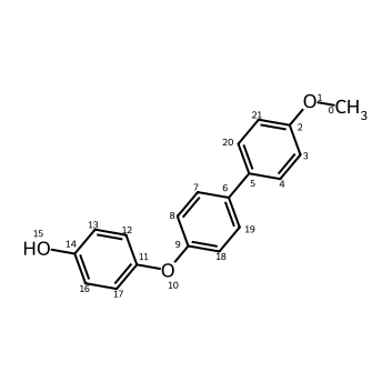 COc1ccc(-c2ccc(Oc3ccc(O)cc3)cc2)cc1